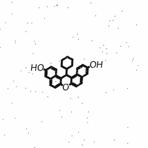 Oc1ccc2c3c(ccc2c1)Oc1ccc2cc(O)ccc2c1C3C1CCCCC1